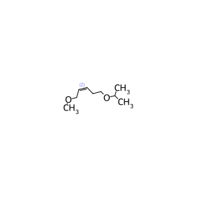 COC/C=C\CCOC(C)C